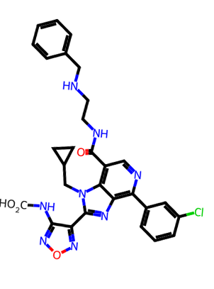 O=C(O)Nc1nonc1-c1nc2c(-c3cccc(Cl)c3)ncc(C(=O)NCCNCc3ccccc3)c2n1CC1CC1